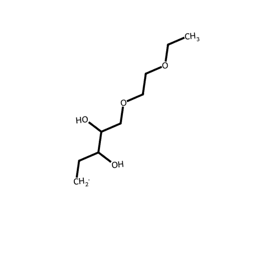 [CH2]CC(O)C(O)COCCOCC